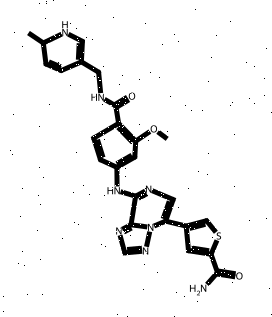 COc1cc(Nc2ncc(-c3csc(C(N)=O)c3)n3ncnc23)ccc1C(=O)NCC1=CNC(C)C=C1